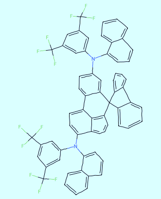 FC(F)(F)c1cc(N(c2ccc3c(c2)C2(c4ccccc4-c4ccccc42)c2cccc4c(N(c5cc(C(F)(F)F)cc(C(F)(F)F)c5)c5cccc6ccccc56)ccc-3c24)c2cccc3ccccc23)cc(C(F)(F)F)c1